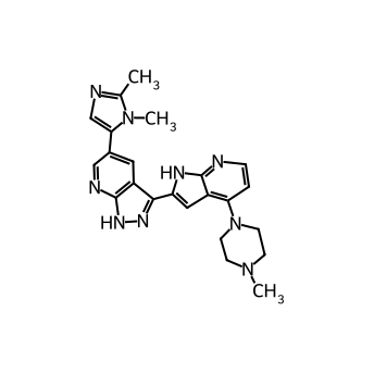 Cc1ncc(-c2cnc3[nH]nc(-c4cc5c(N6CCN(C)CC6)ccnc5[nH]4)c3c2)n1C